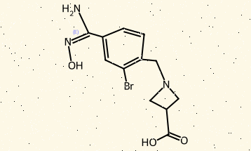 N/C(=N/O)c1ccc(CN2CC(C(=O)O)C2)c(Br)c1